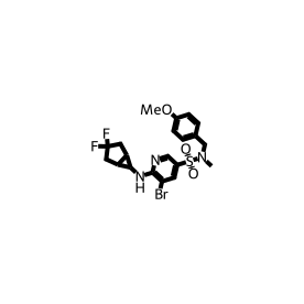 COc1ccc(CN(C)S(=O)(=O)c2cnc(NC3C4CC(F)(F)CC43)c(Br)c2)cc1